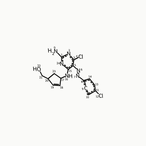 Nc1nc(Cl)c(N=Nc2ccc(Cl)cc2)c(NC2C=CC(CO)C2)n1